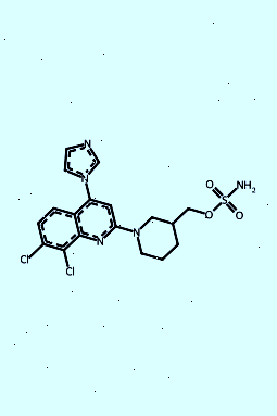 NS(=O)(=O)OCC1CCCN(c2cc(-n3ccnc3)c3ccc(Cl)c(Cl)c3n2)C1